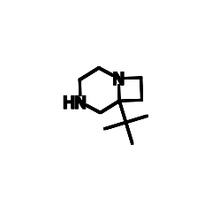 CC(C)(C)C12CCN1CCNC2